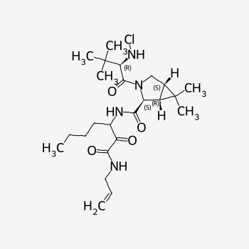 C=CCNC(=O)C(=O)C(CCCC)NC(=O)[C@@H]1[C@@H]2[C@H](CN1C(=O)[C@H](NCl)C(C)(C)C)C2(C)C